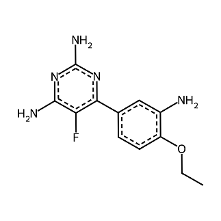 CCOc1ccc(-c2nc(N)nc(N)c2F)cc1N